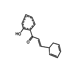 O=C(C=CC1C=CC=CC1)c1ccccc1O